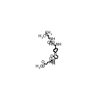 COC(=O)CCNC(=O)N[C@H]1CCN(c2ccc(C(=N)NOC(=O)NCCN(C)C)cc2)C1=O